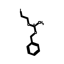 C[C@H](OCCI)OCc1ccccc1